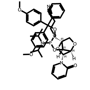 COc1ccc(C(OC[C@@]23CO[C@@H]([C@H](n4ccccc4=O)O2)[C@@H]3OP(OCCC#N)N(C(C)C)C(C)C)(c2ccccc2)c2ccc(OC)cc2)cc1